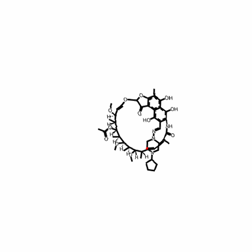 CO[C@H]1[C@@H](C)[C@H](OC(C)=O)[C@H](C)[C@@H](OC)/C=C/O[C@@]2(C)Oc3c(C)c(O)c4c(O)c(c(/C=N/N5CCN(C6CCCC6)CC5)c(O)c4c3C2=O)NC(=O)/C(C)=C\C=C\[C@H](C)[C@H](OC)[C@H]1C